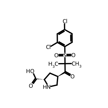 CC(C)(C(=O)[C@H]1CN[C@H](C(=O)O)C1)S(=O)(=O)c1ccc(Cl)cc1Cl